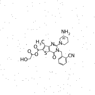 Cc1c(C(=O)OC(=O)CO)sc2c(=O)n(Cc3ccccc3C#N)c(N3CCC[C@@H](N)C3)nc12